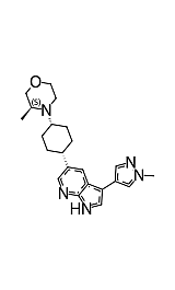 C[C@H]1COCCN1[C@H]1CC[C@@H](c2cnc3[nH]cc(-c4cnn(C)c4)c3c2)CC1